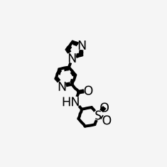 O=C(NC1CCCS(=O)(=O)C1)c1cc(-n2ccnc2)ccn1